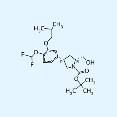 CC(C)COc1cc([C@@H]2C[C@H](CO)N(C(=O)OC(C)(C)C)C2)ccc1OC(F)F